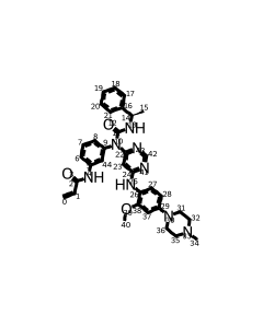 C=CC(=O)Nc1cccc(N(C(=O)N[C@H](C)c2ccccc2)c2cc(Nc3ccc(N4CCN(C)CC4)cc3OC)ncn2)c1